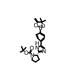 C=C1OB(c2ccc(-c3cnc([C@@H]4CCCN4C(=O)OC(C)(C)C)[nH]3)cc2)OC1(C)C